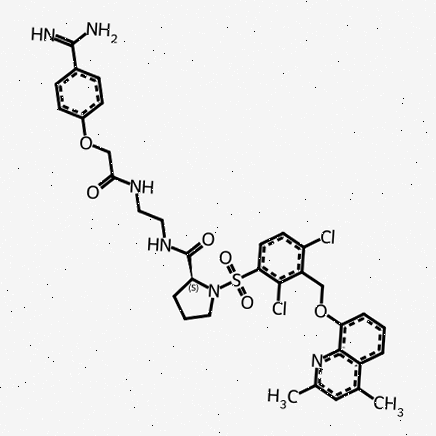 Cc1cc(C)c2cccc(OCc3c(Cl)ccc(S(=O)(=O)N4CCC[C@H]4C(=O)NCCNC(=O)COc4ccc(C(=N)N)cc4)c3Cl)c2n1